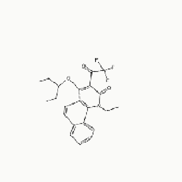 CCC(CC)Oc1c(C(=O)C(F)(F)F)c(=O)n(CC)c2c1ccc1ccccc12